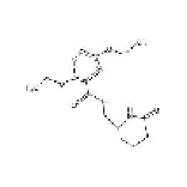 O=C1CCCC(CNC(=O)c2cc(OCC(F)(F)F)ccc2OCC(F)(F)F)N1